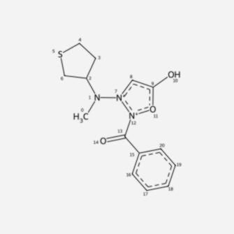 CN(C1CCSC1)[n+]1cc(O)o[n+]1C(=O)c1ccccc1